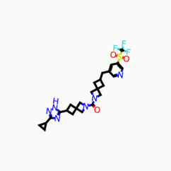 O=C(N1CC2(CC(Cc3cncc(S(=O)(=O)C(F)(F)F)c3)C2)C1)N1CC2(CC(c3nc(C4CC4)n[nH]3)C2)C1